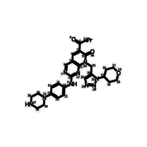 CC(C)C(=O)c1cc2cnc(Nc3ccc(N4CCNCC4)cc3)nc2n(Cc2cnnn2C2CCOCC2)c1=O